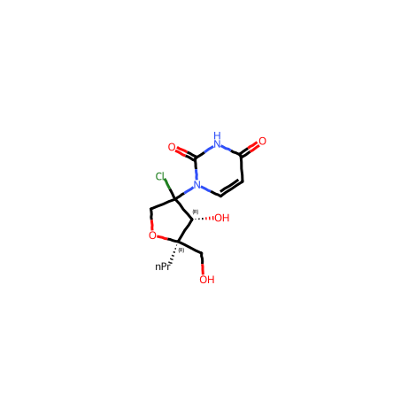 CCC[C@]1(CO)OCC(Cl)(n2ccc(=O)[nH]c2=O)[C@@H]1O